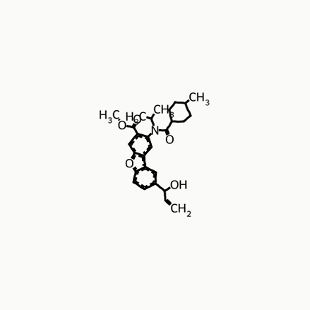 C=CC(O)c1ccc2oc3cc(C(=O)OC)c(N(C(=O)C4CCC(C)CC4)C(C)C)cc3c2c1